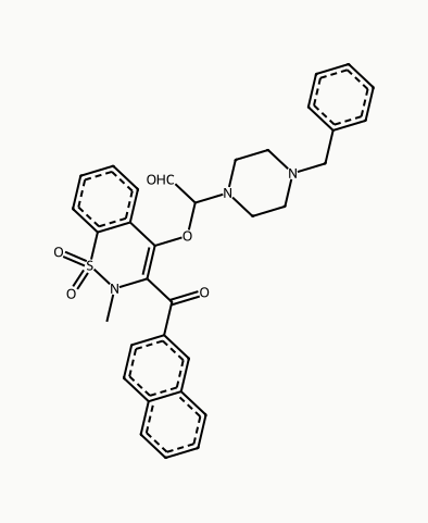 CN1C(C(=O)c2ccc3ccccc3c2)=C(OC(C=O)N2CCN(Cc3ccccc3)CC2)c2ccccc2S1(=O)=O